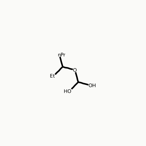 CCCC(CC)OC(O)O